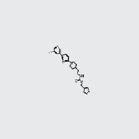 O=C(NCCC1CCN(c2ccc(-c3cncc(F)c3)cn2)CC1)OCc1cscn1